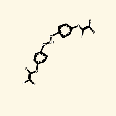 FC(F)=C(F)Oc1ccc(OBOc2ccc(OC(F)=C(F)F)cc2)cc1